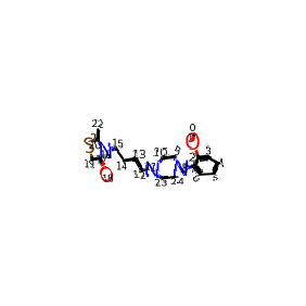 COc1ccccc1N1CCN(CCCCN2C(=O)CSC2C)CC1